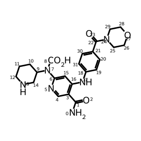 NC(=O)c1cnc(N(C(=O)O)C2CCCNC2)cc1Nc1ccc(C(=O)N2CCOCC2)cc1